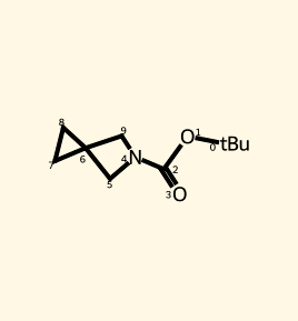 CC(C)(C)OC(=O)N1CC2(CC2)C1